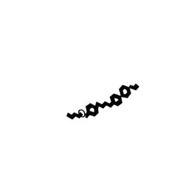 C=CCCOCc1ccc(CCCCc2ccc([C@H]3CC[C@H](CC=C)CC3)cc2)cc1